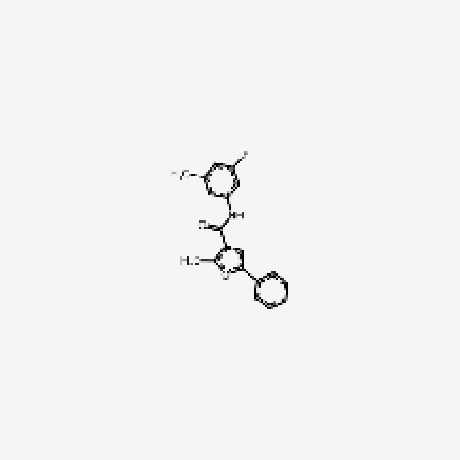 Cc1cc(F)cc(NC(=O)c2cc(-c3ccccc3)oc2C)c1